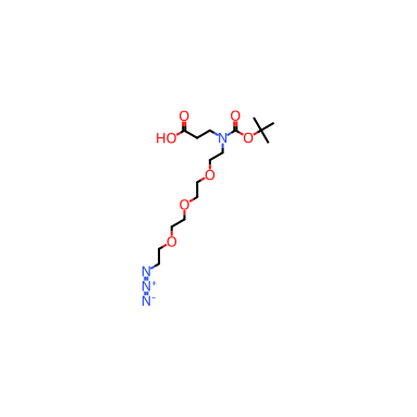 CC(C)(C)OC(=O)N(CCOCCOCCOCCN=[N+]=[N-])CCC(=O)O